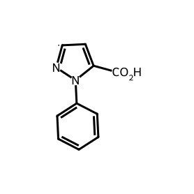 O=C(O)c1c[c]nn1-c1ccccc1